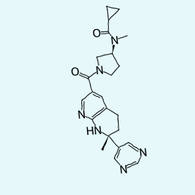 CN(C(=O)C1CC1)[C@H]1CCN(C(=O)c2cnc3c(c2)CC[C@](C)(c2cncnc2)N3)C1